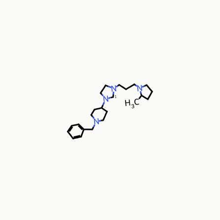 CC1CCCN1CCCN1[C]N(C2CCN(Cc3ccccc3)CC2)CC1